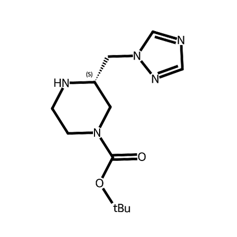 CC(C)(C)OC(=O)N1CCN[C@H](Cn2cncn2)C1